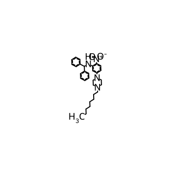 CCCCCCCCN1CCN(c2ccc([N+](=O)[O-])c(NC(c3ccccc3)c3ccccc3)c2)CC1